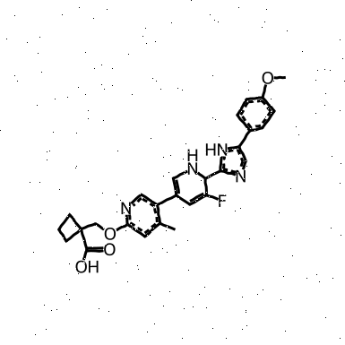 COc1ccc(-c2cnc(C3NC=C(c4cnc(OCC5(C(=O)O)CCC5)cc4C)C=C3F)[nH]2)cc1